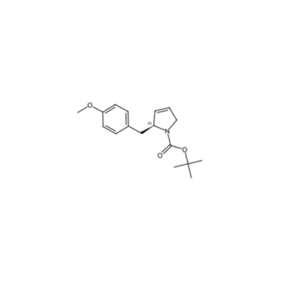 COc1ccc(C[C@H]2C=CCN2C(=O)OC(C)(C)C)cc1